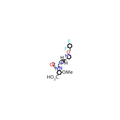 COc1cc(C(=O)O)cc2c1nc(CN1C[C@@H]3[C@H](C1)[C@H]3c1cccc(OCc3ccc(F)cc3F)n1)n2C[C@@H]1CCO1